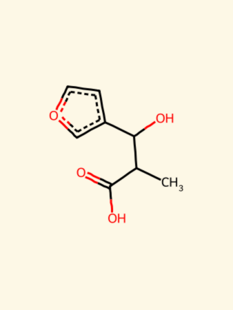 CC(C(=O)O)C(O)c1ccoc1